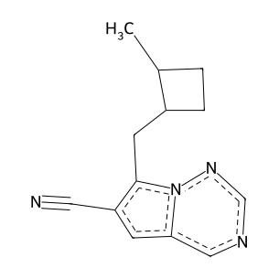 CC1CCC1Cc1c(C#N)cc2cncnn12